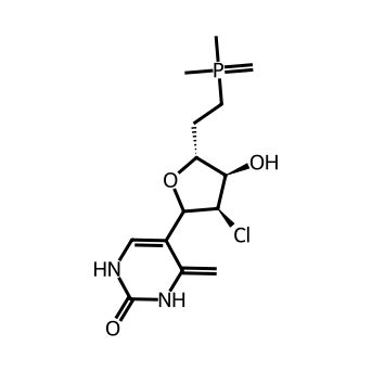 C=C1NC(=O)NC=C1C1O[C@H](CCP(=C)(C)C)[C@@H](O)[C@H]1Cl